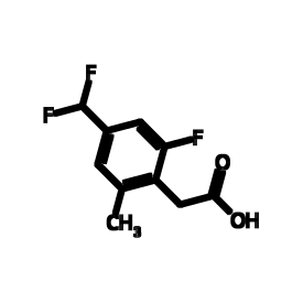 Cc1cc(C(F)F)cc(F)c1CC(=O)O